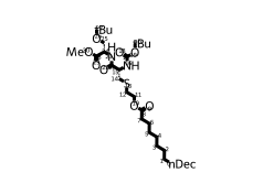 CCCCCCCCCCCCCCCCCC(=O)OCCSC[C@@H](NC(=O)OC(C)(C)C)C(=O)N[C@@H](COC(C)(C)C)C(=O)OC